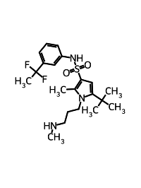 CNCCCn1c(C(C)(C)C)cc(S(=O)(=O)Nc2cccc(C(C)(F)F)c2)c1C